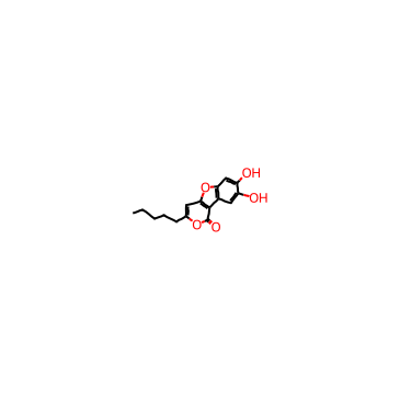 CCCCCc1cc2oc3cc(O)c(O)cc3c2c(=O)o1